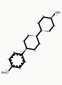 CCCC[C@H]1CC[C@H]([C@H]2CC[C@H](c3ccc(OC)cc3)CC2)CC1